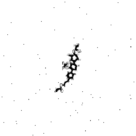 C=CC(=O)OCCCc1ccc(-c2ccc3c(sc4c(C)c(OC(=O)C=C)ccc43)c2OC(F)(F)F)cc1